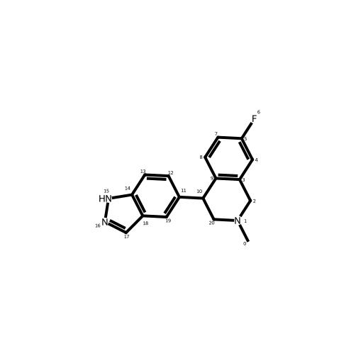 CN1Cc2cc(F)ccc2C(c2ccc3[nH]ncc3c2)C1